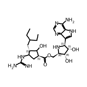 CCC(CC)C[C@H]1C(NC(=N)N)C[C@H](C(=O)OC[C@H]2N[C@@H](c3c[nH]c4c(N)ncnc34)[C@H](O)[C@@H]2O)C1O